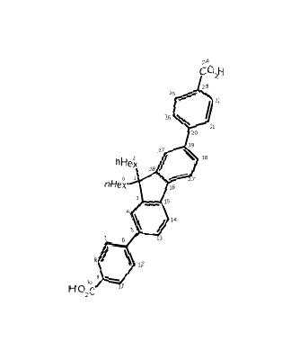 CCCCCCC1(CCCCCC)c2cc(-c3ccc(C(=O)O)cc3)ccc2-c2ccc(-c3ccc(C(=O)O)cc3)cc21